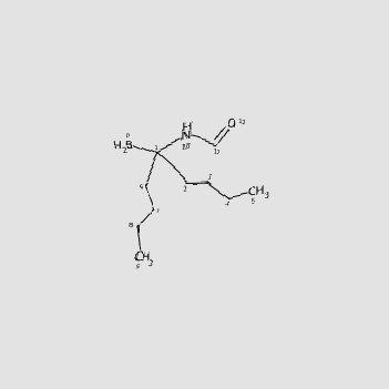 BC(CCCC)(CCCC)NC=O